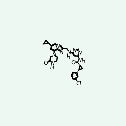 O=C1CN(c2cc(C3CC3)cn3cc(CNc4cc(NC(=O)[C@H]5C[C@@H]5c5cccc(Cl)c5)ncn4)nc23)CCN1